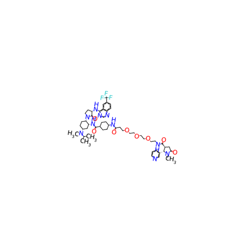 CC(C)N(C)[C@@H]1CC[C@H](N2CC[C@H](Nc3ncnc4ccc(C(F)(F)F)cc34)C2=O)[C@H](NC(=O)C2CCC(NC(=O)CCOCCOCCOCCNC(=O)[C@H]3CC(=O)N(C)[C@@H]3c3cccnc3)CC2)C1